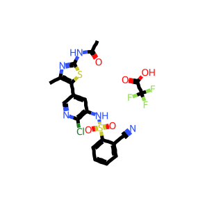 CC(=O)Nc1nc(C)c(-c2cnc(Cl)c(NS(=O)(=O)c3ccccc3C#N)c2)s1.O=C(O)C(F)(F)F